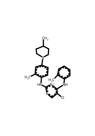 Cc1cc(N2CCC(C)CC2)ccc1Nc1ncc(Cl)c(Nc2ccccc2C)n1